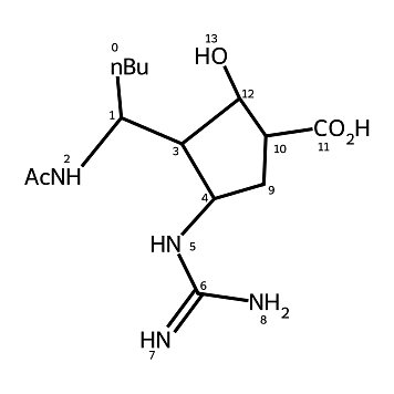 CCCCC(NC(C)=O)C1C(NC(=N)N)CC(C(=O)O)C1O